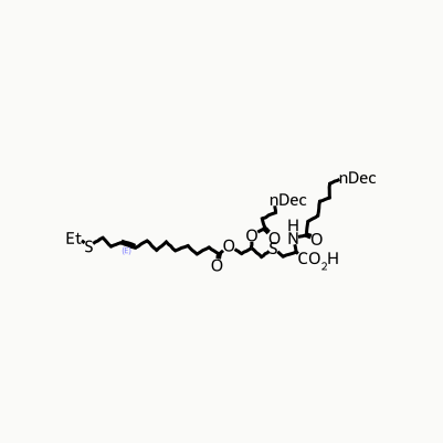 CCCCCCCCCCCCCCCC(=O)NC(CSCC(COC(=O)CCCCCCC/C=C/CCSCC)OC(=O)CCCCCCCCCCCC)C(=O)O